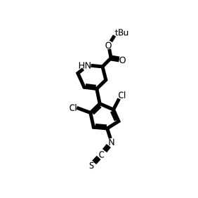 CC(C)(C)OC(=O)C1CC(c2c(Cl)cc(N=C=S)cc2Cl)=CCN1